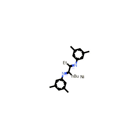 CCCCC(=N\c1cc(C)cc(C)c1)/C(CC)=N/c1cc(C)cc(C)c1.[Ni]